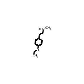 [CH2-][NH2+]CCc1ccc(OCC)cc1